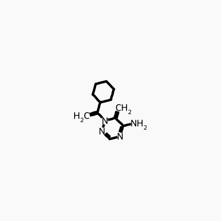 C=C1C(N)=NC=NN1C(=C)C1CCCCC1